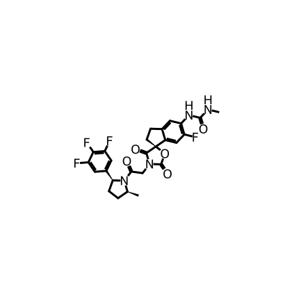 CNC(=O)Nc1cc2c(cc1F)[C@]1(CC2)OC(=O)N(CC(=O)N2[C@@H](C)CC[C@H]2c2cc(F)c(F)c(F)c2)C1=O